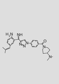 CC(C)=Cc1ccc(N)c(C(=N)c2cn(-c3ccc(C(=O)N4CCC(N(C)C)CC4)cc3)nn2)c1